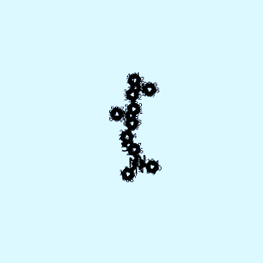 c1ccc(-c2nc(-c3ccccc3)nc(-c3ccc4c(c3)sc3ccc(-c5ccc6c7ccc(-c8ccc9c%10ccccc%10n(-c%10ccccc%10)c9c8)cc7n(-c7ccccc7)c6c5)cc34)n2)cc1